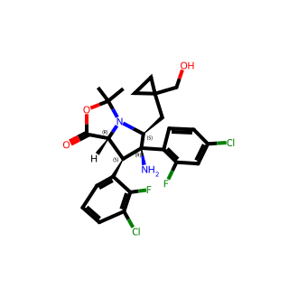 CC1(C)OC(=O)[C@H]2[C@H](c3cccc(Cl)c3F)[C@@](N)(c3ccc(Cl)cc3F)[C@H](CC3(CO)CC3)N21